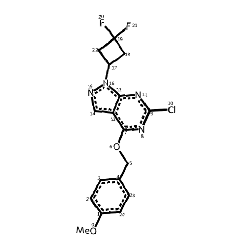 COc1ccc(COc2nc(Cl)nc3c2cnn3C2CC(F)(F)C2)cc1